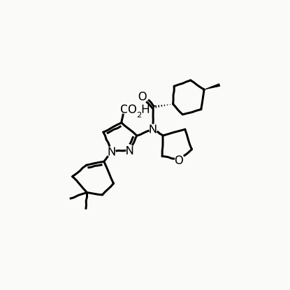 CC1(C)CC=C(n2cc(C(=O)O)c(N(C(=O)[C@H]3CC[C@H](C)CC3)C3CCOC3)n2)CC1